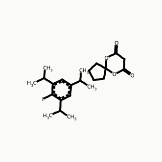 CC(C)c1cc(C(C)C)c(I)c(C(C)C)c1.O=C1CC(=O)OC2(CCCC2)O1